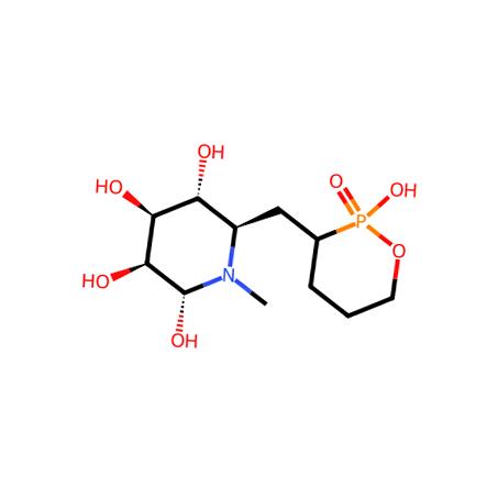 CN1[C@H](O)[C@@H](O)[C@@H](O)[C@H](O)[C@H]1CC1CCCOP1(=O)O